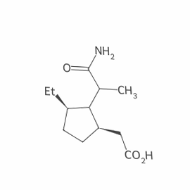 CC[C@@H]1CC[C@H](CC(=O)O)C1C(C)C(N)=O